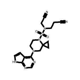 N#CCCN(CC#N)S(=O)(=O)N1CCN(c2ncnc3[nH]ccc23)CC12CC2